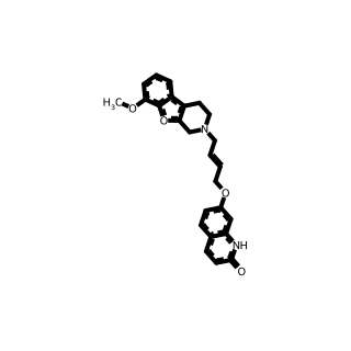 COc1cccc2c3c(oc12)CN(C/C=C/COc1ccc2ccc(=O)[nH]c2c1)CC3